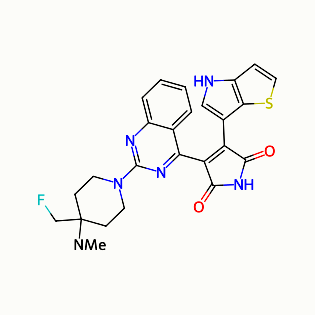 CNC1(CF)CCN(c2nc(C3=C(c4c[nH]c5ccsc45)C(=O)NC3=O)c3ccccc3n2)CC1